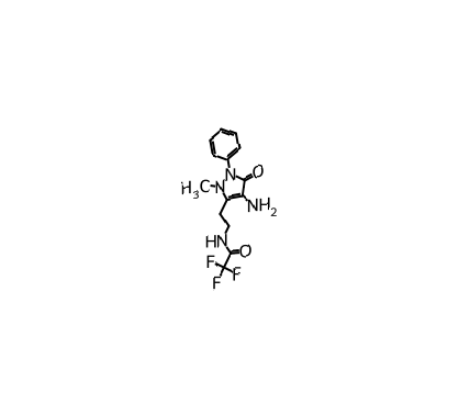 Cn1c(CCNC(=O)C(F)(F)F)c(N)c(=O)n1-c1ccccc1